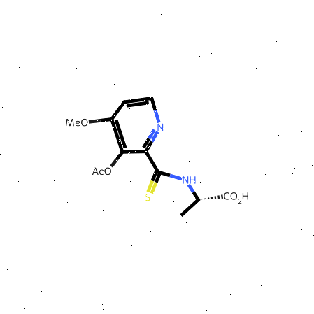 COc1ccnc(C(=S)N[C@@H](C)C(=O)O)c1OC(C)=O